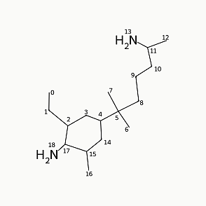 CCC1CC(C(C)(C)CCCC(C)N)CC(C)C1N